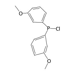 COc1cccc(P(Cl)c2cccc(OC)c2)c1